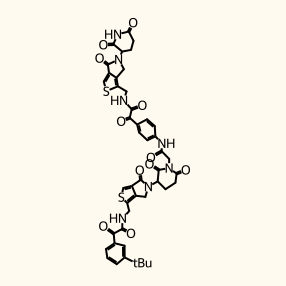 CC(C)(C)c1cccc(C(=O)C(=O)NCc2scc3c2CN(C2CCC(=O)N(CC(=O)Nc4ccc(C(=O)C(=O)NCc5scc6c5CN(C5CCC(=O)NC5=O)C6=O)cc4)C2=O)C3=O)c1